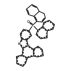 O=P(C1=C2C=CC=CC2CC=C1)(c1ccc2nc3c4ccccc4c4ccccc4n3c2c1)c1cccc2ccccc12